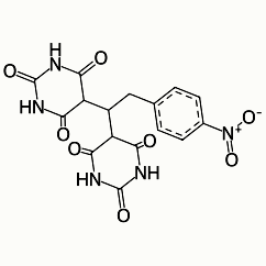 O=C1NC(=O)C(C(Cc2ccc([N+](=O)[O-])cc2)C2C(=O)NC(=O)NC2=O)C(=O)N1